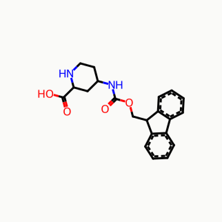 O=C(NC1CCNC(C(=O)O)C1)OCC1c2ccccc2-c2ccccc21